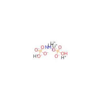 N.O=P([O-])([O-])O.O=P([O-])([O-])[O-].[H+].[H+].[Li+].[Li+].[Li+]